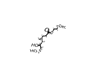 CCCCCCCCCCCCOC(=O)CCN(C)CC(O)CS(=O)(=O)O